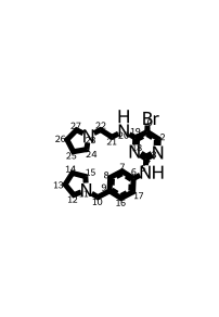 Brc1cnc(Nc2ccc(CN3CCCC3)cc2)nc1NCCN1CCCC1